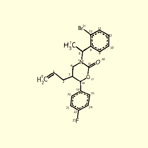 C=CCC1CN(C(C)c2ccccc2Br)C(=O)OC1c1ccc(F)cc1